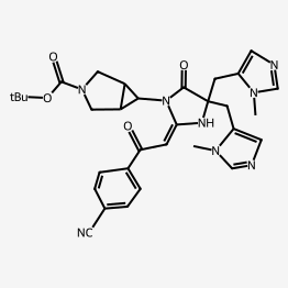 Cn1cncc1CC1(Cc2cncn2C)NC(=CC(=O)c2ccc(C#N)cc2)N(C2C3CN(C(=O)OC(C)(C)C)CC32)C1=O